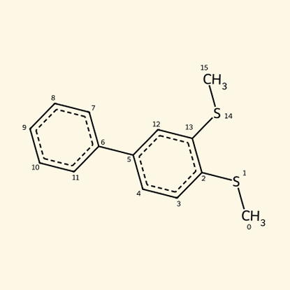 CSc1ccc(-c2ccccc2)cc1SC